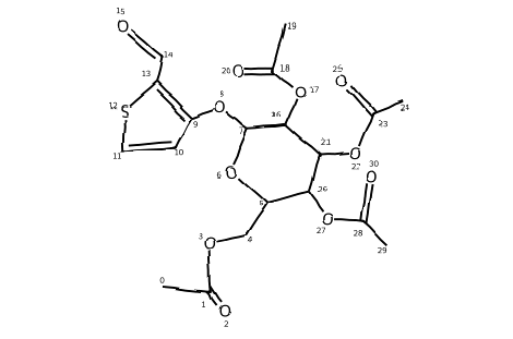 CC(=O)OCC1OC(Oc2ccsc2C=O)C(OC(C)=O)C(OC(C)=O)C1OC(C)=O